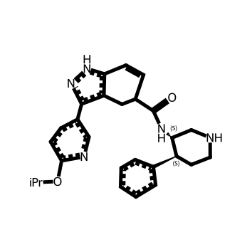 CC(C)Oc1ccc(-c2n[nH]c3c2CC(C(=O)N[C@@H]2CNCC[C@H]2c2ccccc2)C=C3)cn1